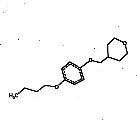 CCCCOc1ccc(OCC2CCOCC2)cc1